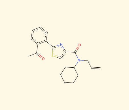 C=CCN(C(=O)c1csc(-c2ccccc2C(C)=O)n1)C1CCCCC1